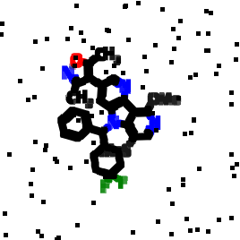 COc1ncc(SC)c2c1c1ncc(-c3c(C)noc3C)cc1n2C(c1ccccc1)C1CCC(F)(F)CC1